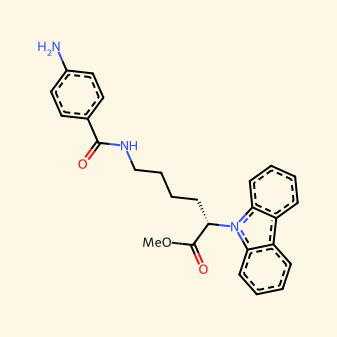 COC(=O)[C@H](CCCCNC(=O)c1ccc(N)cc1)n1c2ccccc2c2ccccc21